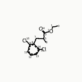 CCOC(=O)C(C)Cc1c(Cl)cccc1Cl